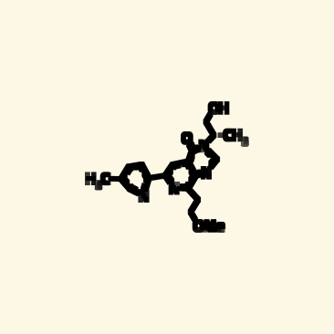 COCCc1nc(-c2ccc(C)cn2)cc2c(=O)n([C@@H](C)CO)cnc12